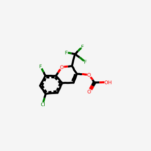 O=C(O)OC1=Cc2cc(Cl)cc(F)c2OC1C(F)(F)F